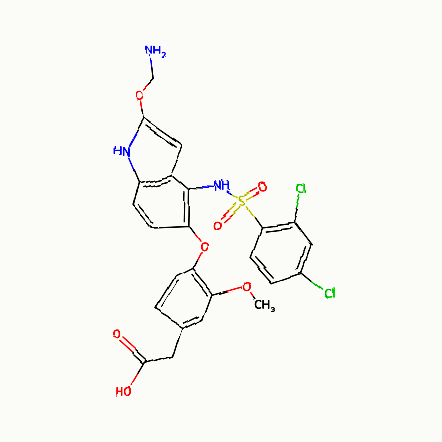 COc1cc(CC(=O)O)ccc1Oc1ccc2[nH]c(OCN)cc2c1NS(=O)(=O)c1ccc(Cl)cc1Cl